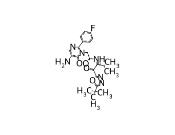 CC(C)[C@@H](NC(=O)Cn1c(-c2ccc(F)cc2)ncc(N)c1=O)C(=O)c1nnc(C(C)(C)C)o1